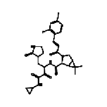 CC1(C)C2CN(C(=O)C=Cc3ccc(F)cc3F)C(C(=O)NC(CC3CCNC3=O)C(=O)C(=O)NC3CC3)C21